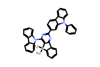 C[Si]1(C)c2ccccc2-c2nc(-c3ccc4c5ccccc5n(-c5ccccc5)c4c3)nc(-n3c4ccccc4c4ccccc43)c21